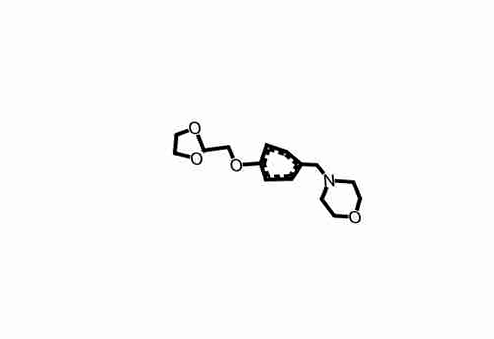 c1cc(OCC2OCCO2)ccc1CN1CCOCC1